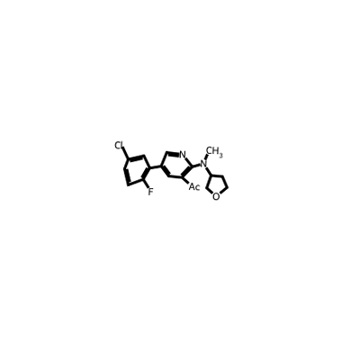 CC(=O)c1cc(-c2cc(Cl)ccc2F)cnc1N(C)C1CCOC1